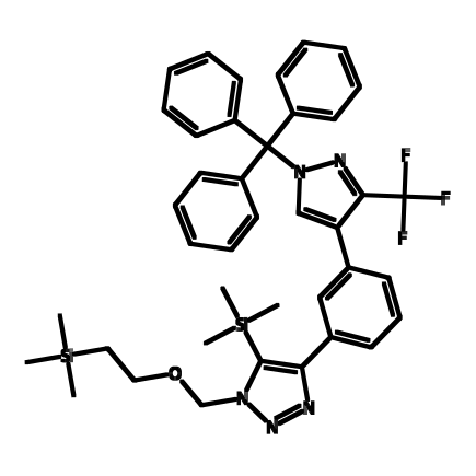 C[Si](C)(C)CCOCn1nnc(-c2cccc(-c3cn(C(c4ccccc4)(c4ccccc4)c4ccccc4)nc3C(F)(F)F)c2)c1[Si](C)(C)C